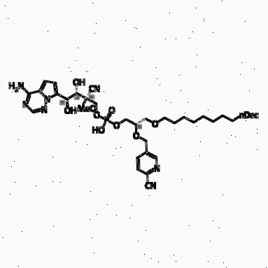 CCCCCCCCCCCCCCCCCCOC[C@@H](COP(=O)(O)OC[C@@](C#N)(OC)[C@@H](O)[C@@H](O)c1ccc2c(N)ncnn12)OCc1ccc(C#N)nc1